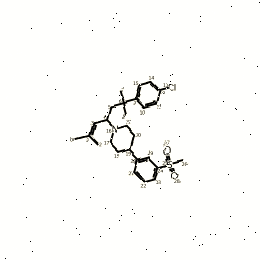 CC(C)=CC(CC(C)(C)c1ccc(Cl)cc1)N1CCC(c2cccc(S(C)(=O)=O)c2)CC1